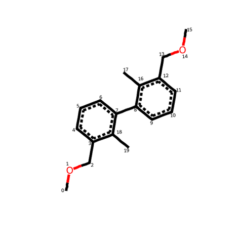 COCc1cccc(-c2cccc(COC)c2C)c1C